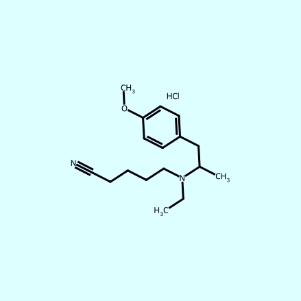 CCN(CCCCC#N)C(C)Cc1ccc(OC)cc1.Cl